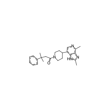 Cc1nc2c(C)ncc(C3CCN(C(=O)CC(C)(C)c4ccccc4)CC3)c2[nH]1